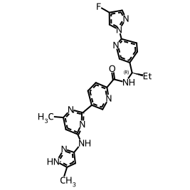 CC[C@@H](NC(=O)c1ccc(-c2nc(C)cc(Nc3cc(C)[nH]n3)n2)cn1)c1ccc(-n2cc(F)cn2)nc1